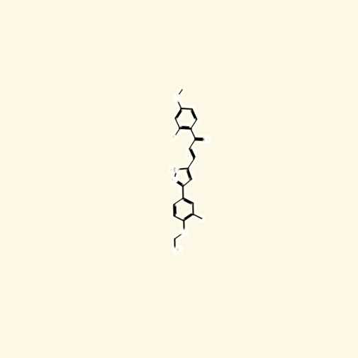 COc1ccc(C(=O)/C=C/c2cc(-c3ccc(OCO)c(C)c3)n[nH]2)c(F)c1